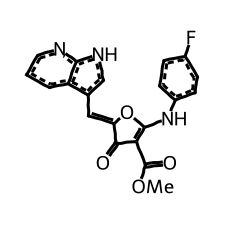 COC(=O)C1=C(Nc2ccc(F)cc2)O/C(=C\c2c[nH]c3ncccc23)C1=O